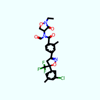 CCN1OCC(N(C=O)C(=O)c2ccc(C3=NOC(c4cc(C)cc(Cl)c4)(C(F)(F)F)C3)cc2C)C1=O